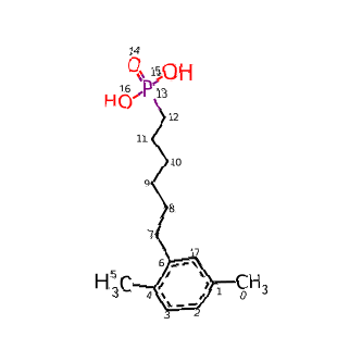 Cc1ccc(C)c(CCCCCCP(=O)(O)O)c1